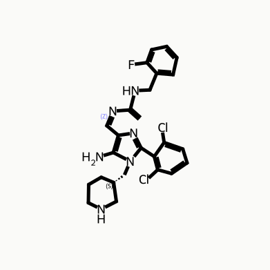 C=C(/N=C\c1nc(-c2c(Cl)cccc2Cl)n(C[C@H]2CCCNC2)c1N)NCc1ccccc1F